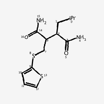 CC(C)CC(C(N)=O)C(CSc1cccs1)C(N)=O